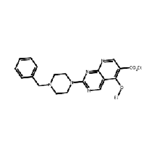 CCOC(=O)c1cnc2nc(N3CCN(Cc4ccccc4)CC3)ncc2c1OCC